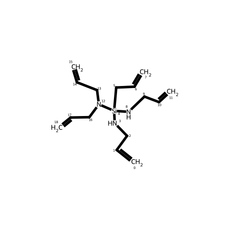 C=CCN[Si](CC=C)(NCC=C)N(CC=C)CC=C